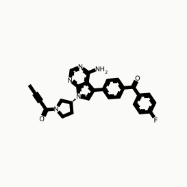 CC#CC(=O)N1CC[C@@H](n2cc(-c3ccc(C(=O)c4ccc(F)cc4)cc3)c3c(N)ncnc32)C1